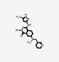 Cc1cc(Nc2nn(C(C)C)c(=O)c3cc(N(C)Cc4cccnc4)ccc23)n[nH]1